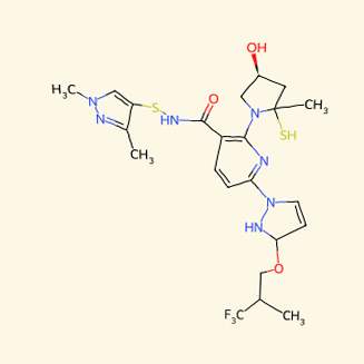 Cc1nn(C)cc1SNC(=O)c1ccc(N2C=CC(OCC(C)C(F)(F)F)N2)nc1N1C[C@@H](O)CC1(C)S